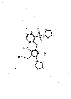 CCOC(=O)Cn1c(C)c(Cc2ccccc2S(=O)(=O)N2CCCC2)c(C#N)c1C1CCCC1